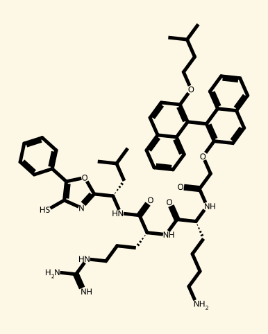 CC(C)CCOc1ccc2ccccc2c1-c1c(OCC(=O)N[C@H](CCCCN)C(=O)N[C@H](CCCNC(=N)N)C(=O)N[C@@H](CC(C)C)c2nc(S)c(-c3ccccc3)o2)ccc2ccccc12